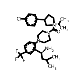 CC(C)C[C@H](N)c1cc(C(F)(F)F)ccc1N1CCN(C(=O)[N+]2(C(C)C)CCC(c3ccc(Cl)cc3)C2)CC1